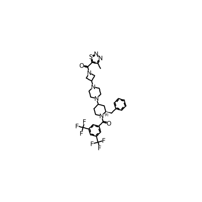 Cc1nnsc1C(=O)N1CC(N2CCN(C3CCN(C(=O)c4cc(C(F)(F)F)cc(C(F)(F)F)c4)[C@H](Cc4ccccc4)C3)CC2)C1